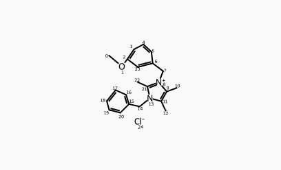 COc1cccc(C[n+]2c(C)c(C)n(Cc3ccccc3)c2C)c1.[Cl-]